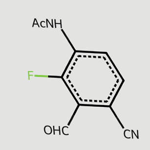 CC(=O)Nc1ccc(C#N)c(C=O)c1F